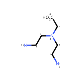 [N]CCN(CC[N])CC(=O)O